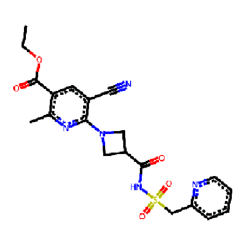 CCOC(=O)c1cc(C#N)c(N2CC(C(=O)NS(=O)(=O)Cc3ccccn3)C2)nc1C